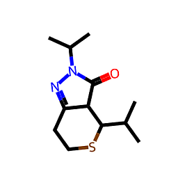 CC(C)C1SCCC2=NN(C(C)C)C(=O)C21